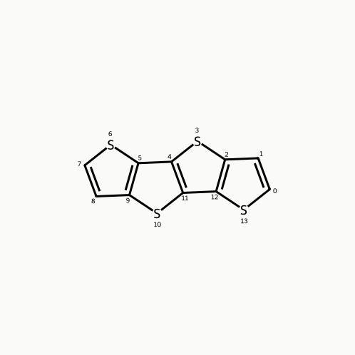 c1cc2sc3c4sccc4sc3c2s1